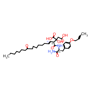 CC#CCOc1ccc(C[C@H](NC(=O)[C@@H](/C=C/CCCCCCC(=O)CCCCCCC)[C@@](O)(CC(=O)O)C(=O)O)C(N)=O)cc1